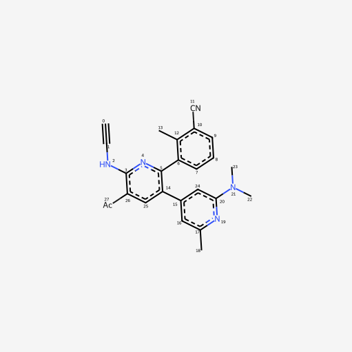 C#CNc1nc(-c2cccc(C#N)c2C)c(-c2cc(C)nc(N(C)C)c2)cc1C(C)=O